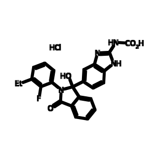 CCc1cccc(N2C(=O)c3ccccc3C2(O)c2ccc3[nH]c(NC(=O)O)nc3c2)c1F.Cl